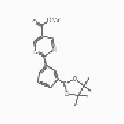 COC(=O)c1cnc(-c2cccc(B3OC(C)(C)C(C)(C)O3)c2)nc1